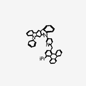 CC(C)c1ccc(Cc2ccc(-n3c4ccccc4c4cc5c6ccccc6n(-c6ccccc6)c5cc43)cn2)c2c3ccccc3c3ccccc3c12